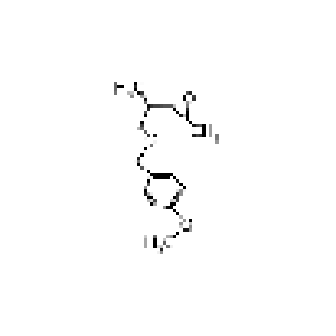 COc1ccc(COC[C@@H](C)[C@@H]2O[C@H]2C)cc1